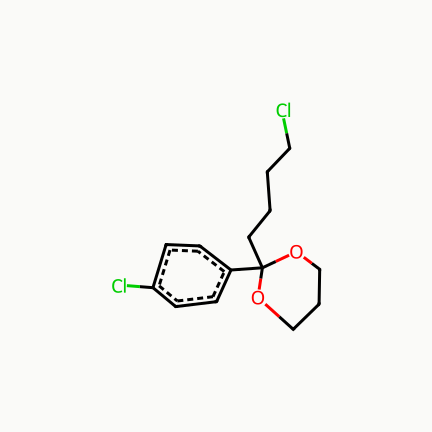 ClCCCCC1(c2ccc(Cl)cc2)OCCCO1